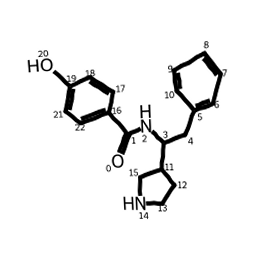 O=C(NC(Cc1ccccc1)C1CCNC1)c1ccc(O)cc1